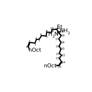 CCCCCCCC/C=C\CCCCCCCCC(CC)C(N)(N)CCCCCCCC/C=C\CCCCCCCC